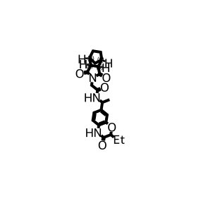 CCC1Oc2cc(C(C)NC(=O)CN3C(=O)[C@@H]4[C@@H]5CC[C@@H](C5)[C@@H]4C3=O)ccc2NC1=O